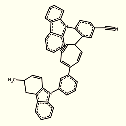 CC1C=Cc2c(c3ccccc3n2-c2cccc(C3=CC#CC(c4cc(C#N)ccc4-n4c5ccccc5c5ccccc54)C=C3)c2)C1